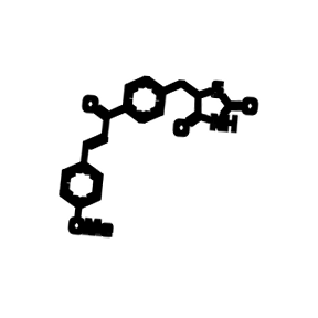 COc1ccc(/C=C/C(=O)c2ccc(CC3SC(=O)NC3=O)cc2)cc1